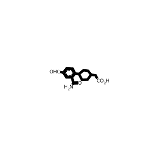 NC(=O)c1cc(C=O)ccc1C1CCC(CC(=O)O)CC1